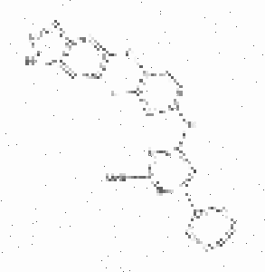 CNc1nc(Nc2ccc(Oc3ccc4[nH]ncc4c3)c(F)c2)cc(-c2ccccc2)n1